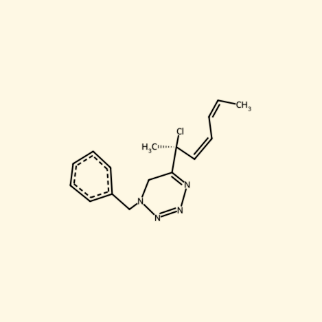 C/C=C\C=C/[C@](C)(Cl)C1=NN=NN(Cc2ccccc2)C1